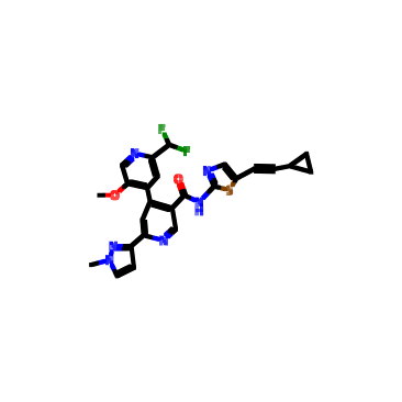 COc1cnc(C(F)F)cc1-c1cc(-c2ccn(C)n2)ncc1C(=O)Nc1ncc(C#CC2CC2)s1